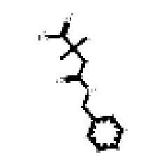 CC(C)(CC(=O)OCc1ccccc1)C(=O)O